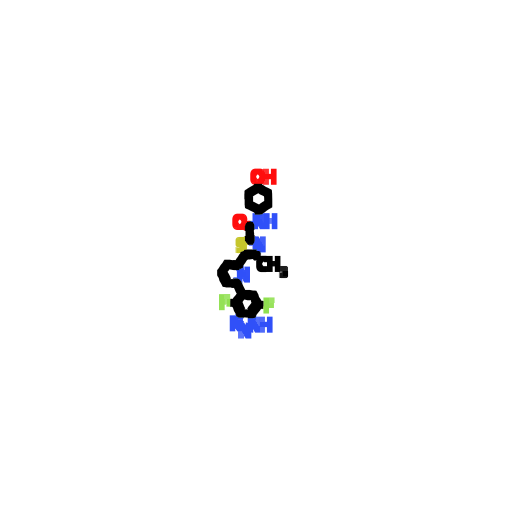 Cc1nc(C(=O)NC2CCC(O)CC2)sc1-c1cccc(-c2cc(F)c3[nH]nnc3c2F)n1